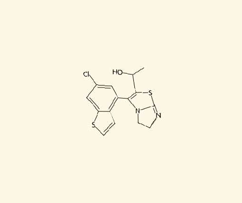 CC(O)C1=C(c2cc(Cl)cc3sccc23)N2CCN=C2S1